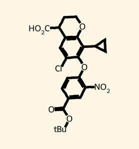 CC(C)(C)OC(=O)c1ccc(Oc2c(Cl)cc3c(c2C2CC2)OCCC3C(=O)O)c([N+](=O)[O-])c1